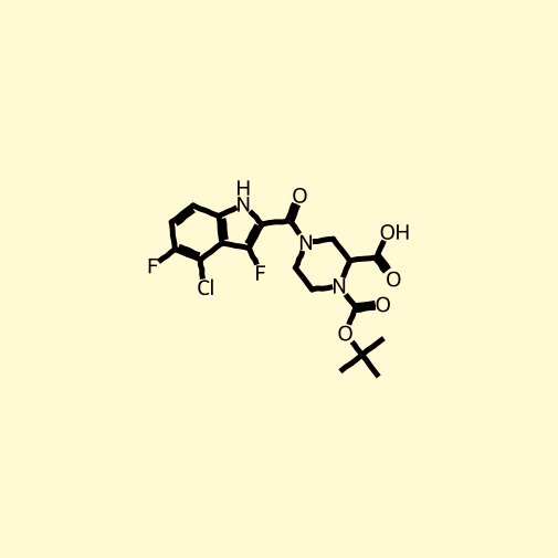 CC(C)(C)OC(=O)N1CCN(C(=O)c2[nH]c3ccc(F)c(Cl)c3c2F)CC1C(=O)O